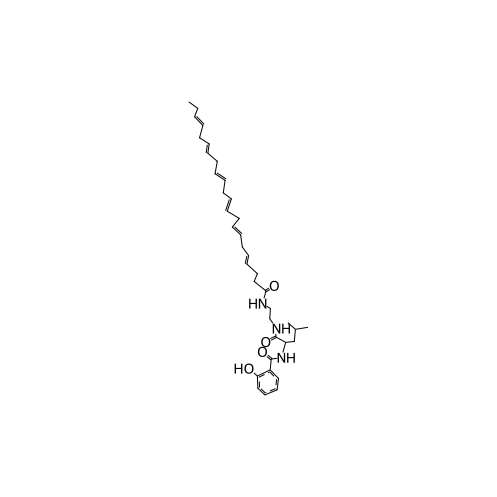 CCC=CCC=CCC=CCC=CCC=CCC=CCCC(=O)NCCNC(=O)C(CC(C)C)NC(=O)c1ccccc1O